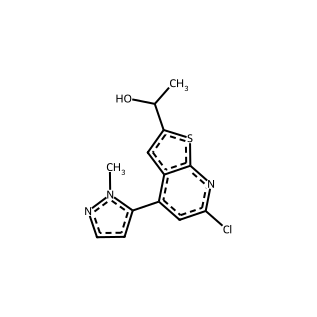 CC(O)c1cc2c(-c3ccnn3C)cc(Cl)nc2s1